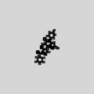 Cc1ccc(-n2c(=O)c3cnc4c(cnn4C(=O)c4ccccc4)c3n3nc(C)cc23)cc1